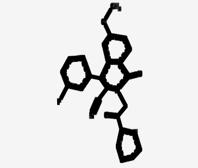 COc1ccc2c(=O)n(CC(=O)c3ccccn3)c(C#N)c(-c3cccc(F)c3)c2c1